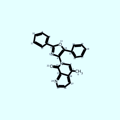 Cc1cn(-c2nc(-c3ccccc3)oc2-c2ccccc2)c(=O)c2ncccc12